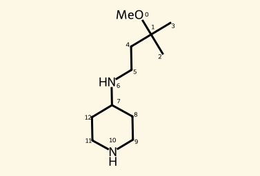 COC(C)(C)CCNC1CCNCC1